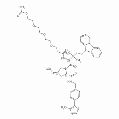 Cc1ncsc1-c1ccc(CNC(=O)[C@@H]2C[C@@H](OC(C)(C)C)CN2C(=O)[C@@H](NC(=O)CCOCCOCCOCCOC(N)=O)C(C)(C)CCC2c3ccccc3-c3ccccc32)cc1